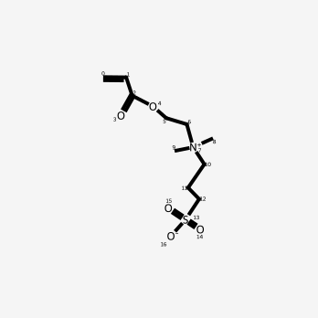 C=CC(=O)OCC[N+](C)(C)CCCS(=O)(=O)[O-]